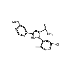 CNc1cc(-c2cc(C(N)=O)c(-c3cc(Cl)ccc3C)[nH]2)ncn1